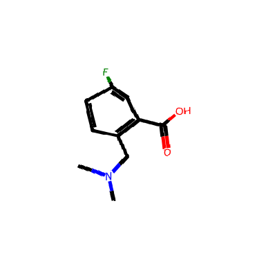 CN(C)Cc1ccc(F)cc1C(=O)O